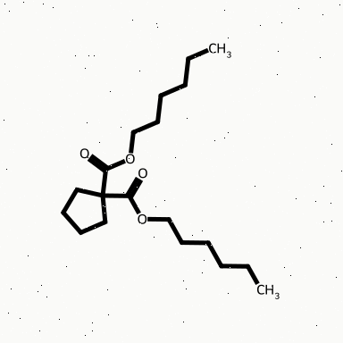 CCCCCCOC(=O)C1(C(=O)OCCCCCC)CCCC1